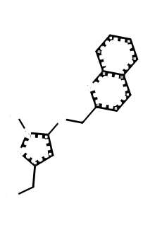 CC(C)n1nc(CO)cc1OCc1ccc2ccccc2n1